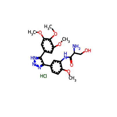 COc1ccc(-c2nn[nH]c2-c2cc(OC)c(OC)c(OC)c2)cc1NC(=O)C(N)CO.Cl